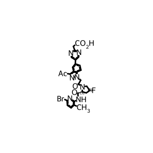 CC(=O)c1nn(CC(=O)N2C[C@H](F)C[C@H]2C(=O)Nc2nc(Br)ccc2C)c2ccc(-c3cnc(CC(=O)O)nc3)cc12